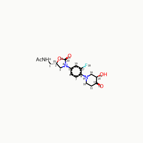 CC(=O)NC[C@H]1CN(c2ccc(N3CCC(=O)C(O)C3)c(F)c2)C(=O)O1